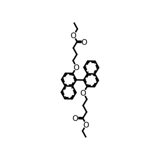 CCOC(=O)CCCOc1ccc2ccccc2c1-c1c(OCCCC(=O)OCC)ccc2ccccc12